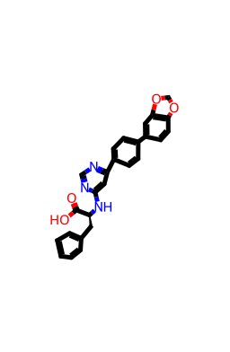 O=C(O)[C@H](Cc1ccccc1)Nc1cc(-c2ccc(-c3ccc4c(c3)OCO4)cc2)ncn1